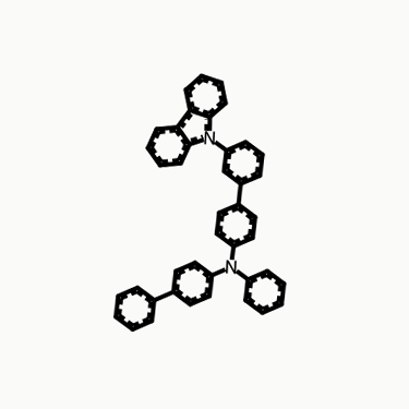 c1ccc(-c2ccc(N(c3ccccc3)c3ccc(-c4cccc(-n5c6ccccc6c6ccccc65)c4)cc3)cc2)cc1